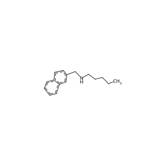 CCCCCNCc1ccc2ccccc2c1